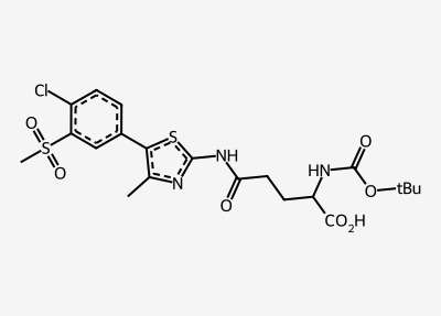 Cc1nc(NC(=O)CCC(NC(=O)OC(C)(C)C)C(=O)O)sc1-c1ccc(Cl)c(S(C)(=O)=O)c1